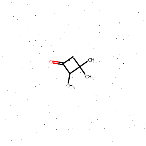 CC1C(=O)CC1(C)C